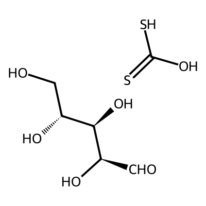 O=C[C@@H](O)[C@H](O)[C@H](O)CO.OC(=S)S